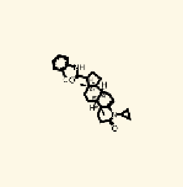 C[C@]12CCC(=O)N(C3CC3)C1=CC[C@@H]1[C@H]2CC[C@]2(C)C(C(=O)Nc3ccccc3Cl)CC[C@@H]12